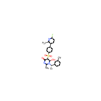 CCCCc1nc(=O)c(S(=O)(=O)c2ccc(-c3ccc(F)nc3C)cc2)c(O)n1[C@@H](CC)c1cccc(C#N)c1